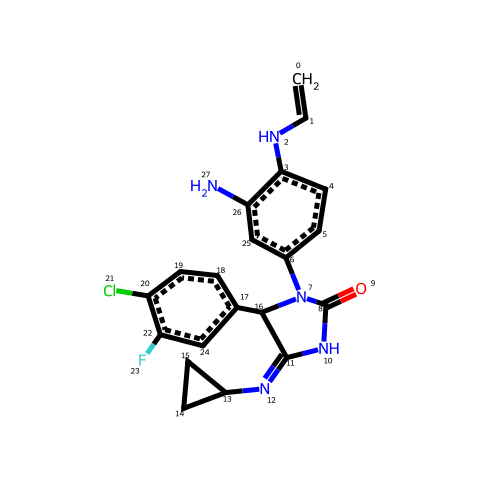 C=CNc1ccc(N2C(=O)N/C(=N/C3CC3)C2c2ccc(Cl)c(F)c2)cc1N